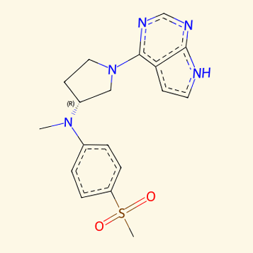 CN(c1ccc(S(C)(=O)=O)cc1)[C@@H]1CCN(c2ncnc3[nH]ccc23)C1